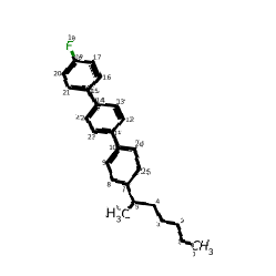 CCCCCC(C)C1CC=C(c2ccc(-c3ccc(F)cc3)cc2)CC1